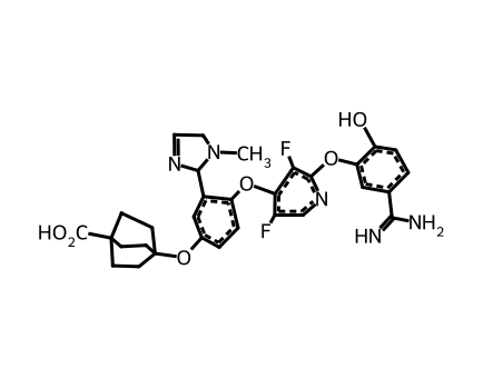 CN1CC=NC1c1cc(OC23CCC(C(=O)O)(CC2)CC3)ccc1Oc1c(F)cnc(Oc2cc(C(=N)N)ccc2O)c1F